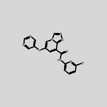 CCc1cccc(NC(=O)c2cc(Oc3cncnc3)cn3cnnc23)n1